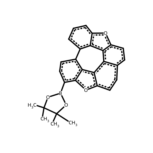 CC1(C)OB(c2ccc3c4c2oc2ccc5ccc6oc7cccc-3c7c6c5c24)OC1(C)C